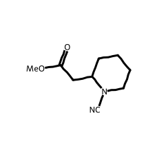 COC(=O)CC1CCCCN1C#N